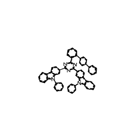 c1ccc(-c2ccc(-c3ccccc3-c3nc(-c4ccc5c6ccccc6n(-c6ccccc6)c5c4)nc(-c4ccc5c6ccccc6n(-c6ccccc6)c5c4)n3)cc2)cc1